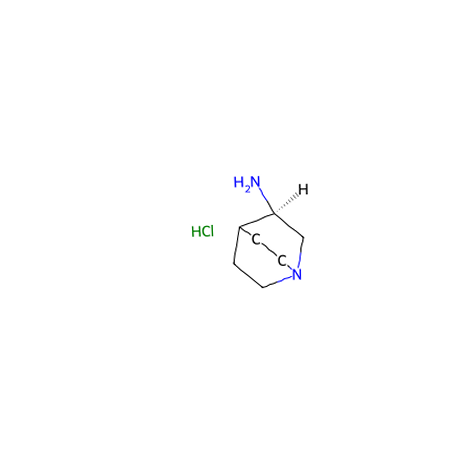 Cl.N[C@H]1CN2CCC1CC2